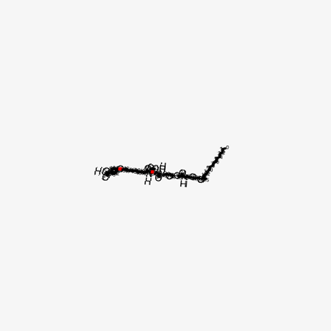 CCCCCCCCCCCCCC[C](C)OCCOCCNC(=O)COCCOCCNC(=O)CC[C@H](NC(=O)CCCCCCCCCOc1ccc(C(=O)O)cc1)C(=O)O